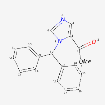 COC(=O)c1cncn1C(c1ccccc1)c1ccccc1